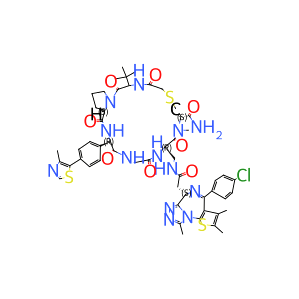 Cc1ncsc1-c1ccc([C@H]2NC(=O)[C@@H]3CCCN3C(=O)C(C(C)(C)C)NC(=O)CSC[C@H](C(N)=O)N(C)C(=O)[C@@H](CNC(=O)C[C@@H]3N=C(c4ccc(Cl)cc4)c4c(sc(C)c4C)-n4c(C)nnc43)NC(=O)CNC2=O)cc1